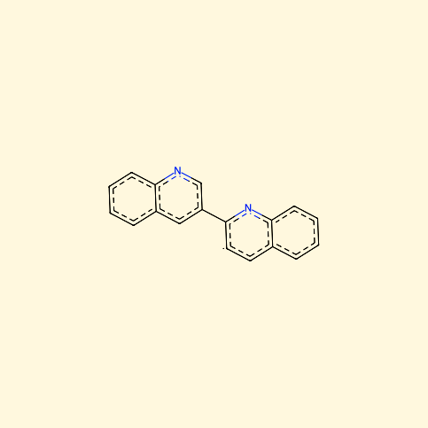 [c]1cc2ccccc2nc1-c1cnc2ccccc2c1